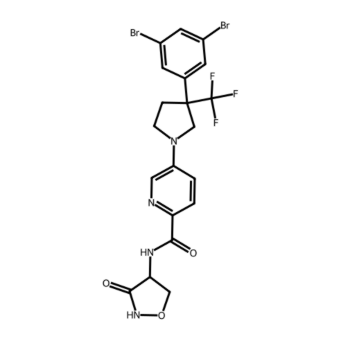 O=C(NC1CONC1=O)c1ccc(N2CCC(c3cc(Br)cc(Br)c3)(C(F)(F)F)C2)cn1